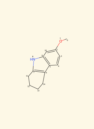 COc1ccc2c3c([nH]c2c1)CCCC3